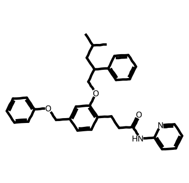 CC(C)CC(COc1cc(COc2ccccc2)ccc1CCC(=O)Nc1ccccn1)c1ccccc1